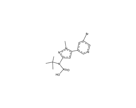 Cn1nc(N(C(=O)O)C(C)(C)C)cc1-c1cncc(Br)c1